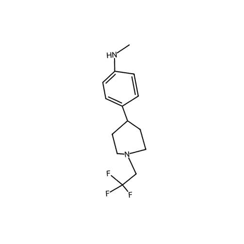 CNc1ccc(C2CCN(CC(F)(F)F)CC2)cc1